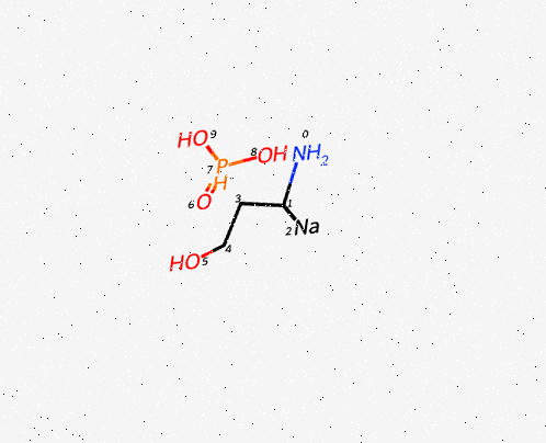 N[CH]([Na])CCO.O=[PH](O)O